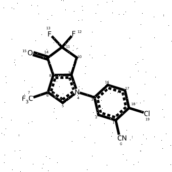 N#Cc1cc(-n2cc(C(F)(F)F)c3c2CC(F)(F)C3=O)ccc1Cl